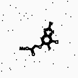 COC(=O)COc1cc2sc(Br)nc2c(Cl)c1F